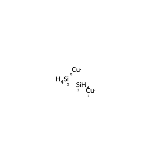 [Cu].[Cu].[SiH4].[SiH4]